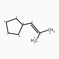 CC(C)=CC1[CH]CCC1